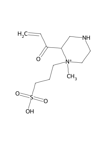 C=CC(=O)C1CNCC[N+]1(C)CCCS(=O)(=O)O